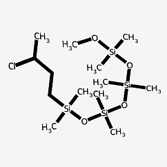 CO[Si](C)(C)O[Si](C)(C)O[Si](C)(C)O[Si](C)(C)CCC(C)Cl